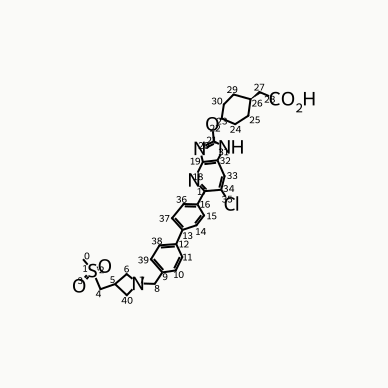 CS(=O)(=O)CC1CN(Cc2ccc(-c3ccc(-c4nc5nc(O[C@H]6CC[C@H](CC(=O)O)CC6)[nH]c5cc4Cl)cc3)cc2)C1